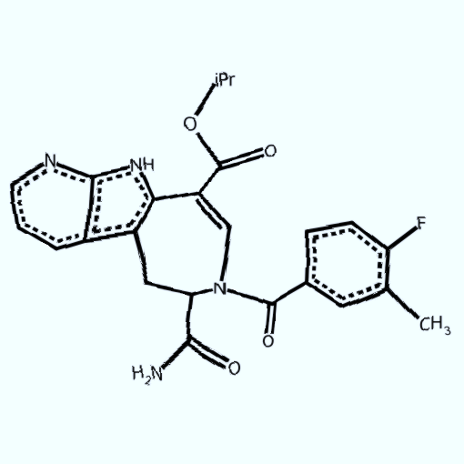 Cc1cc(C(=O)N2C=C(C(=O)OC(C)C)c3[nH]c4ncccc4c3CC2C(N)=O)ccc1F